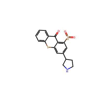 O=c1c2ccccc2sc2cc(C3CCNC3)cc([SH](=O)=O)c12